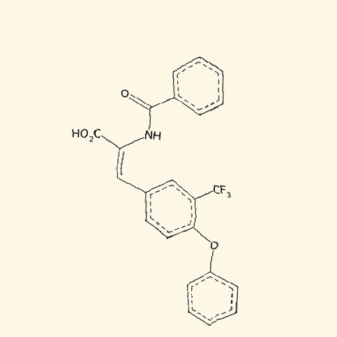 O=C(O)C(=Cc1ccc(Oc2ccccc2)c(C(F)(F)F)c1)NC(=O)c1ccccc1